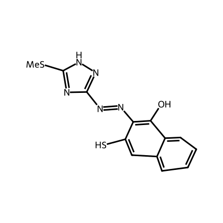 CSc1nc(/N=N/c2c(S)cc3ccccc3c2O)n[nH]1